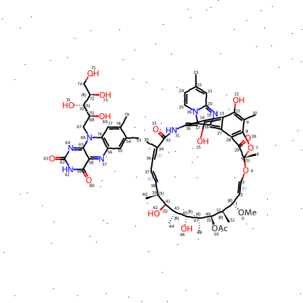 CO[C@H]1/C=C/O[C@@]2(C)Oc3c(C)c(O)c4c(O)c(c5c(nc6cc(C)ccn65)c4c3C2=O)NC(=O)/C(C)=C\C=C\[C@H](C)[C@H](O)[C@@H](C)[C@@H](O)[C@@H](C)[C@H](OC(C)=O)[C@@H]1C.Cc1cc2nc3c(=O)[nH]c(=O)nc-3n(C[C@H](O)[C@H](O)[C@H](O)CO)c2cc1C